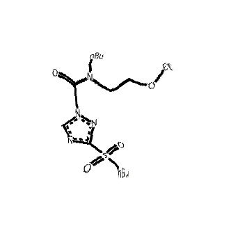 CCCCN(CCOCC)C(=O)n1cnc(S(=O)(=O)CCCC)n1